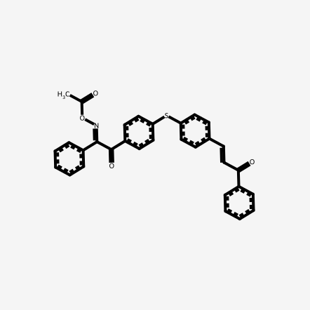 CC(=O)ON=C(C(=O)c1ccc(Sc2ccc(C=CC(=O)c3ccccc3)cc2)cc1)c1ccccc1